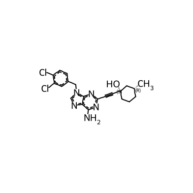 C[C@@H]1CCC[C@@](O)(C#Cc2nc(N)c3ncn(Cc4ccc(Cl)c(Cl)c4)c3n2)C1